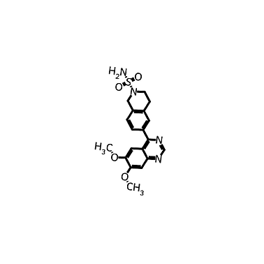 COc1cc2ncnc(-c3ccc4c(c3)CCN(S(N)(=O)=O)C4)c2cc1OC